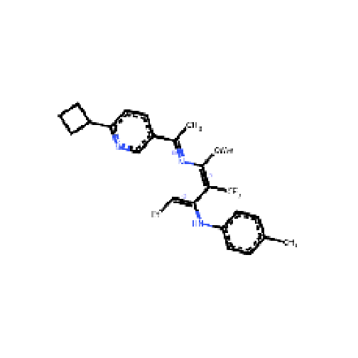 CC/C=C(Nc1ccc(C)cc1)/C(=C(\N=C(/C)c1ccc(C2CCC2)nc1)OC)C(F)(F)F